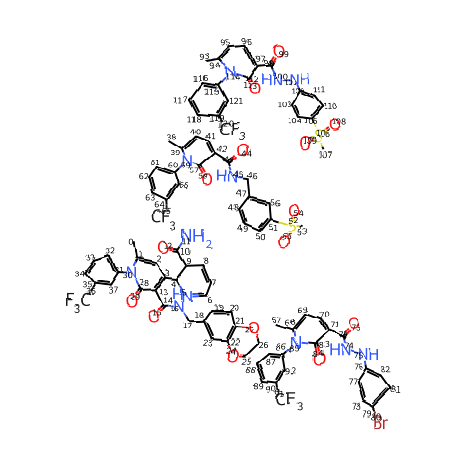 Cc1cc(C2N=CC=CC2C(N)=O)c(C(=O)NCc2ccc3c(c2)OCCO3)c(=O)n1-c1cccc(C(F)(F)F)c1.Cc1ccc(C(=O)NCc2cccc(S(C)(=O)=O)c2)c(=O)n1-c1cccc(C(F)(F)F)c1.Cc1ccc(C(=O)NNc2ccc(Br)cc2)c(=O)n1-c1cccc(C(F)(F)F)c1.Cc1ccc(C(=O)NNc2ccc(S(C)(=O)=O)cc2)c(=O)n1-c1cccc(C(F)(F)F)c1